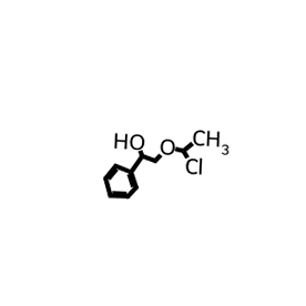 CC(Cl)OCC(O)c1ccccc1